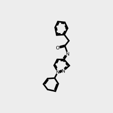 O=C(Cc1ccccc1)N=c1ccn(C2C=CCC=C2)nc1